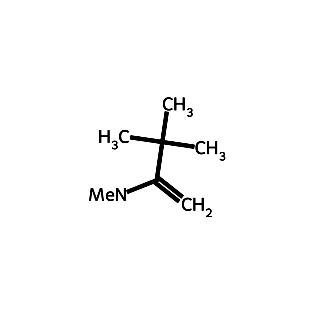 C=C(NC)C(C)(C)C